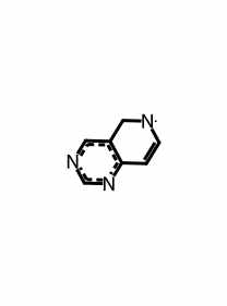 C1=Cc2ncncc2C[N]1